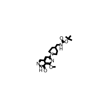 COc1nc(N2CCC(CNC(=O)OC(C)(C)C)CC2)cc2cn[nH]c(=O)c12